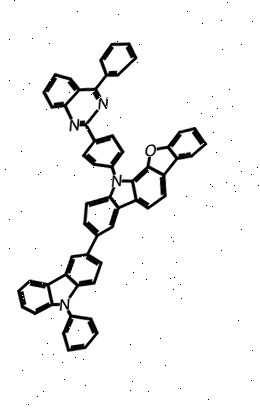 c1ccc(-c2nc(-c3ccc(-n4c5ccc(-c6ccc7c(c6)c6ccccc6n7-c6ccccc6)cc5c5ccc6c7ccccc7oc6c54)cc3)nc3ccccc23)cc1